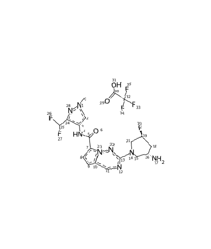 Cn1cc(NC(=O)c2ccc3cnc(N4C[C@@H](N)C[C@H](F)C4)nn23)c(C(F)F)n1.O=C(O)C(F)(F)F